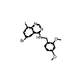 COc1ccc(CNc2ncnc3c(I)cc(Br)cc23)c(OC)c1